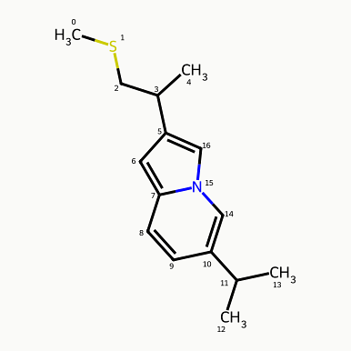 CSCC(C)c1cc2ccc(C(C)C)cn2c1